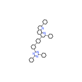 c1ccc(-c2ccc3ccc4c(-c5ccc(-c6cccc(-c7nc(-c8ccccc8)nc(-c8ccccc8)n7)c6)cc5)cc(-c5ccccc5)nc4c3n2)cc1